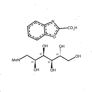 CNC[C@H](O)[C@@H](O)[C@H](O)[C@H](O)CO.O=C(O)c1nc2ccccc2o1